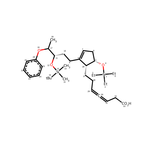 CC[Si](CC)(CC)O[C@H]1CC=C(CC[C@H](O[Si](C)(C)C(C)(C)C)C(C)Oc2ccccc2)[C@H]1CCC=C=CCC(=O)O